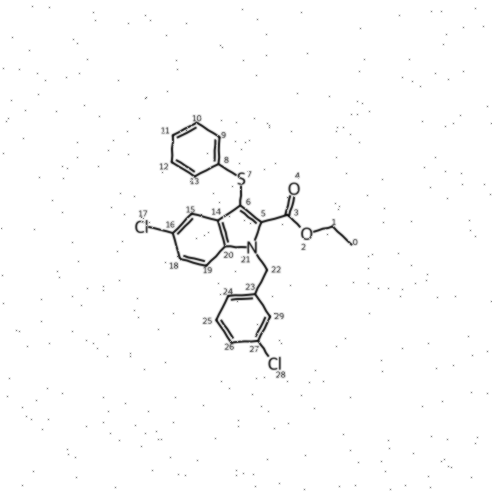 CCOC(=O)c1c(Sc2ccccc2)c2cc(Cl)ccc2n1Cc1cccc(Cl)c1